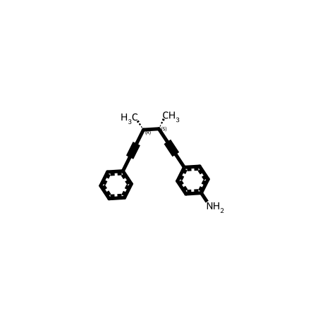 C[C@H](C#Cc1ccc(N)cc1)[C@@H](C)C#Cc1ccccc1